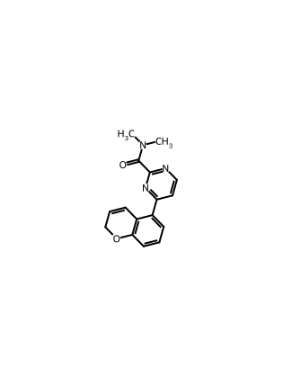 CN(C)C(=O)c1nccc(-c2cccc3c2C=CCO3)n1